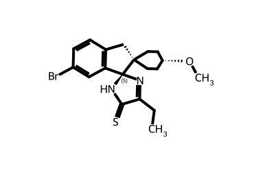 CCC1=N[C@]2(NC1=S)c1cc(Br)ccc1C[C@]21CC[C@@H](OC)CC1